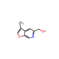 Cc1coc2cnc(CO)cc12